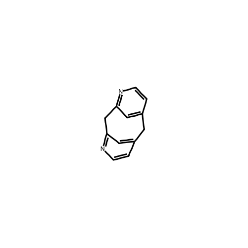 c1cc2cc(n1)Cc1cc(ccn1)C2